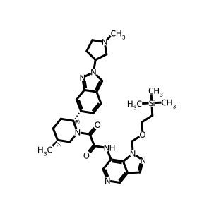 C[C@H]1CC[C@H](c2ccc3cn(C4CCN(C)C4)nc3c2)N(C(=O)C(=O)Nc2cncc3cnn(COCC[Si](C)(C)C)c23)C1